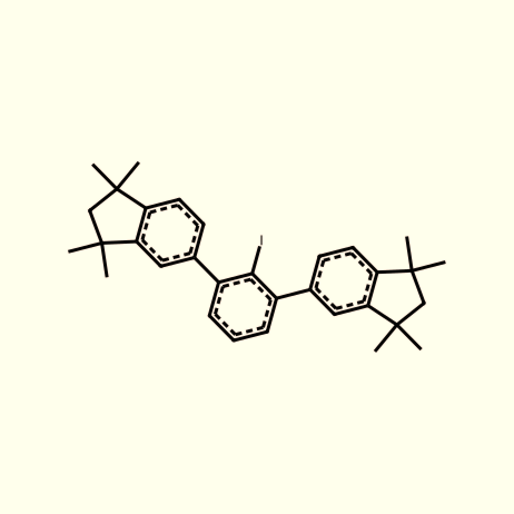 CC1(C)CC(C)(C)c2cc(-c3cccc(-c4ccc5c(c4)C(C)(C)CC5(C)C)c3I)ccc21